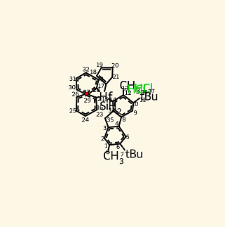 Cc1cc2c(cc1C(C)(C)C)-c1cc(C(C)(C)C)c(C)[c]([Hf](=[SiH2])([C]3=CC=CC3)([c]3ccccc3)[c]3ccccc3)c1C2.Cl.Cl